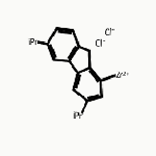 CC(C)c1ccc2c(c1)-c1cc(C(C)C)c[c]([Zr+2])c1C2.[Cl-].[Cl-]